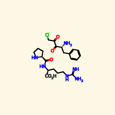 N=C(N)NCCC[C@H](NC(=O)[C@@H]1CCCN1)C(=O)O.N[C@H](Cc1ccccc1)C(=O)C(=O)CCl